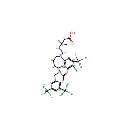 CC(=O)N(Cc1cc(C(F)(F)F)cc(C(F)(F)F)c1)[C@H]1CCCN(CCC(C)(C)CC(=O)O)c2cc(C(F)(F)F)c(C)cc21